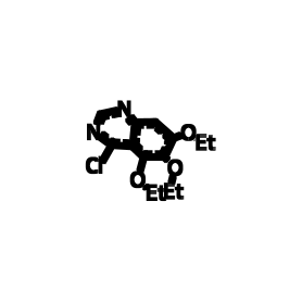 CCOc1cc2ncnc(Cl)c2c(OCC)c1OCC